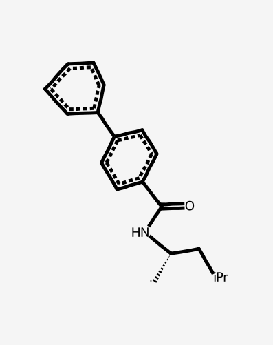 [CH2][C@@H](CC(C)C)NC(=O)c1ccc(-c2ccccc2)cc1